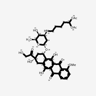 COc1cccc2c1C(=O)c1c(O)c3c(c(O)c1C2=O)C[C@@](O)(C(=O)CO)C[C@@H]3O[C@H]1C[C@H](NCCCCC(OC(C)=O)OC(C)=O)[C@H](O)[C@H](C)O1